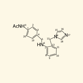 CC(=O)Nc1ccc(CNc2ccccc2Cn2ccnc2)cc1